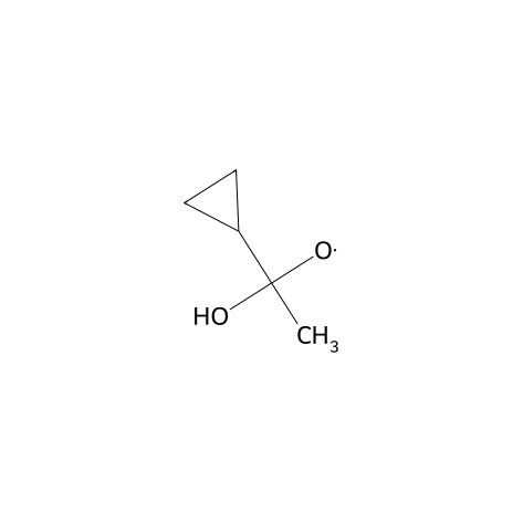 CC([O])(O)C1CC1